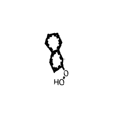 OOc1[c]c2ccccc2cc1